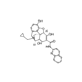 O=C(Nc1ccc2ccccc2n1)C1=C(O)[C@@H]2Oc3c(O)ccc4c3[C@@]23CCN(CC2CC2)[C@H](C4)[C@]3(O)C1